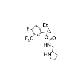 CCC1C[C@@]1(OC(=O)NCC1CCCN1)c1ccc(F)c(C(F)(F)F)c1